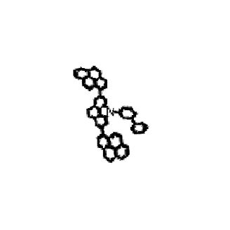 c1ccc(-c2cccc(-n3c4cc(-c5ccc6ccc7cccc8ccc5c6c78)cc5ccc6cc(-c7ccc8ccc9cccc%10ccc7c8c9%10)cc3c6c54)c2)cc1